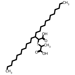 CCCCCCCCCCCCC(CCCCCCCCCCCC)C(SC(C)C(=O)O)C(=O)O